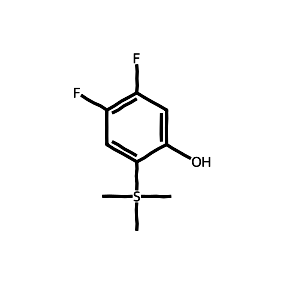 CS(C)(C)c1cc(F)c(F)cc1O